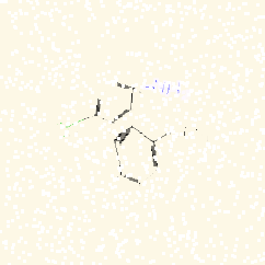 Cc1ccccc1.Nc1ccc(Cl)cc1